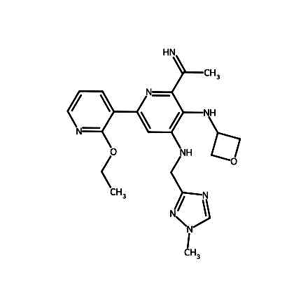 CCOc1ncccc1-c1cc(NCc2ncn(C)n2)c(NC2COC2)c(C(C)=N)n1